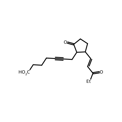 CCC(=O)C=CC1CCC(=O)C1CC#CCCCC(=O)O